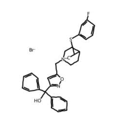 OC(c1ccccc1)(c1ccccc1)c1cc(C[N+]23CCC(CC2)C(Sc2cccc(F)c2)C3)on1.[Br-]